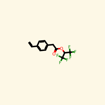 C=Cc1ccc(CC(=O)OC(C(F)(F)F)C(F)(F)F)cc1